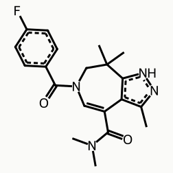 Cc1n[nH]c2c1C(C(=O)N(C)C)=CN(C(=O)c1ccc(F)cc1)CC2(C)C